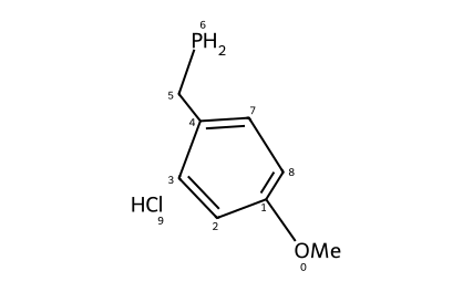 COc1ccc(CP)cc1.Cl